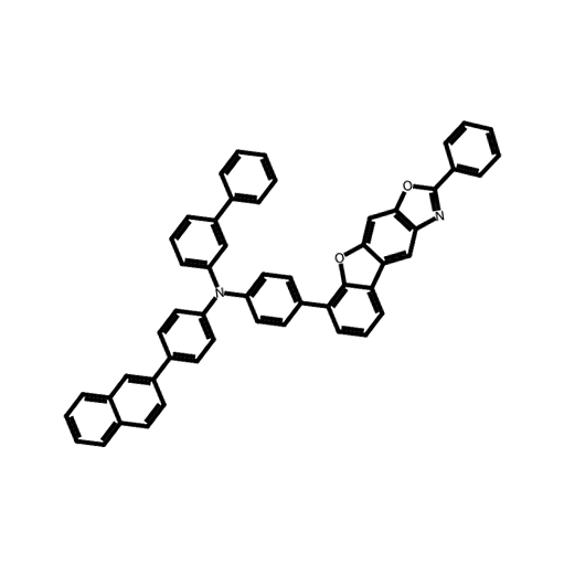 c1ccc(-c2cccc(N(c3ccc(-c4ccc5ccccc5c4)cc3)c3ccc(-c4cccc5c4oc4cc6oc(-c7ccccc7)nc6cc45)cc3)c2)cc1